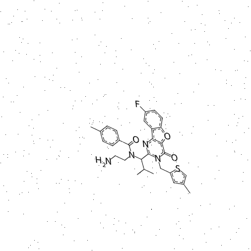 Cc1ccc(C(=O)N(CCN)C(c2nc3c(oc4ccc(F)cc43)c(=O)n2Cc2cc(C)cs2)C(C)C)cc1